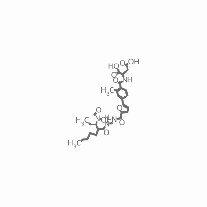 CCCCCC(C(=O)NCNC(=O)c1ccc(-c2ccc(C(=O)NC(CC(=O)O)C(=O)O)c(C)c2)o1)[C@@H](CC)N(O)C=O